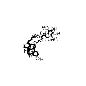 CC(C)CCC[C@@H](C)[C@H]1CC[C@H]2[C@@H]3CC[C@@H]4C[C@H](O)CC[C@]4(C)[C@H]3C[C@H](OCCO[C@@H]3OC(CO)[C@@H](O[C@H]4OC(CO)[C@@H](O)[C@H](O)C4O)C(O)[C@@H]3O)[C@]12C